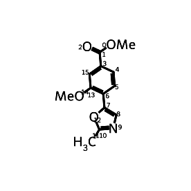 COC(=O)c1ccc(-c2cnc(C)o2)c(OC)c1